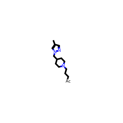 CC(=O)CCCN1CCC(Cn2cc(C)cn2)CC1